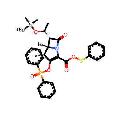 CC(O[Si](C)(C)C(C)(C)C)[C@@H]1C(=O)N2C(C(=O)OSc3ccccc3)=C(OP(=O)(c3ccccc3)c3ccccc3)[C@H](C)[C@H]12